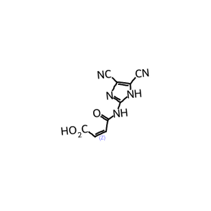 N#Cc1nc(NC(=O)/C=C\C(=O)O)[nH]c1C#N